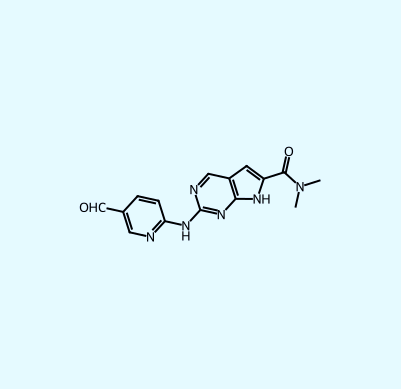 CN(C)C(=O)c1cc2cnc(Nc3ccc(C=O)cn3)nc2[nH]1